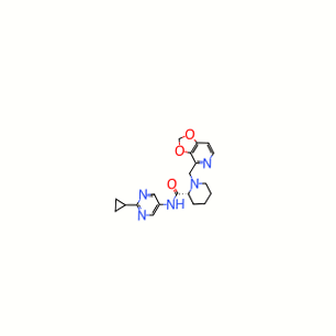 O=C(Nc1cnc(C2CC2)nc1)[C@H]1CCCCN1Cc1nccc2c1OCO2